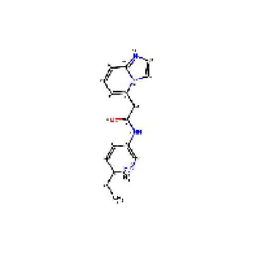 CCC(C)/C=C\C(=C/N)NC(=O)Cc1cccc2nccn12